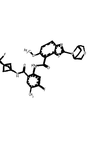 COc1ccc2nc(N3C4COCC3C4)sc2c1C(=O)Nc1cc(F)c(C)cc1C(=O)NC12CC(C(F)(F)F)(C1)C2